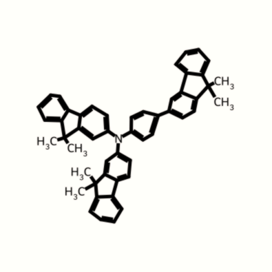 CC1(C)c2ccccc2-c2cc(-c3ccc(N(c4ccc5c(c4)C(C)(C)c4ccccc4-5)c4ccc5c(c4)C(C)(C)c4ccccc4-5)cc3)ccc21